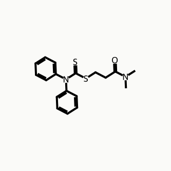 CN(C)C(=O)CCSC(=S)N(c1ccccc1)c1ccccc1